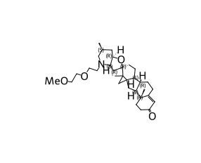 COCCOCCN1C[C@@H](C)C[C@H]2O[C@]3(CC[C@H]4[C@@H]5CCC6=CC(=O)CC[C@]6(C)[C@H]5CC45CC53C)[C@H](C)[C@@H]21